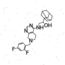 OC(CNc1ncnc2c1CCN(Cc1ccc(F)cc1F)C2)C12CC3CC(CC(C3)C1)C2